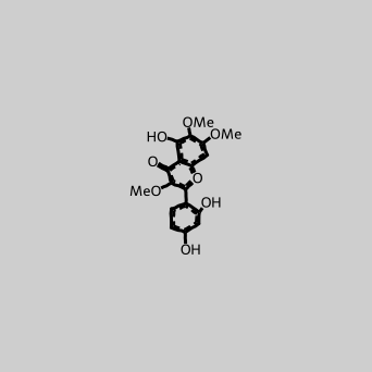 COc1cc2oc(-c3ccc(O)cc3O)c(OC)c(=O)c2c(O)c1OC